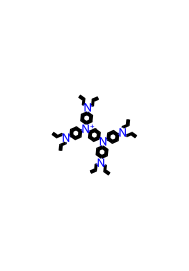 C=CCN(CC=C)c1ccc(N(c2ccc(N(CC=C)CC=C)cc2)c2ccc([N+](c3ccc(N(CC=C)CC=C)cc3)c3ccc(N(CC=C)CC=C)cc3)cc2)cc1